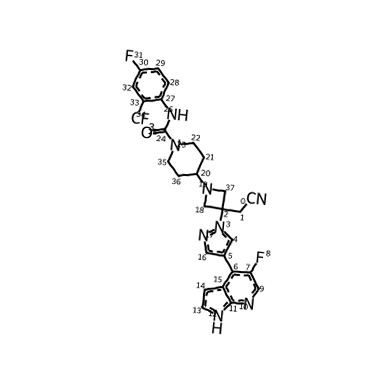 N#CCC1(n2cc(-c3c(F)cnc4[nH]ccc34)cn2)CN(C2CCN(C(=O)Nc3ccc(F)cc3C(F)(F)F)CC2)C1